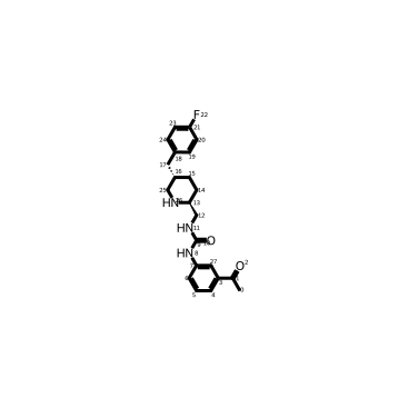 CC(=O)c1cccc(NC(=O)NC[C@@H]2CC[C@@H](Cc3ccc(F)cc3)CN2)c1